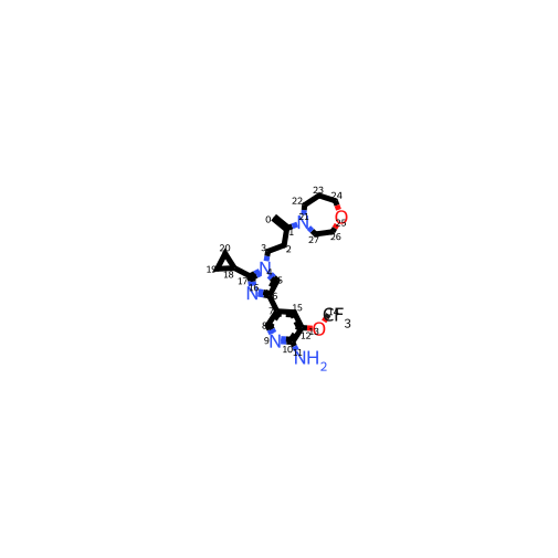 C=C(CCn1cc(-c2cnc(N)c(OC(F)(F)F)c2)nc1C1CC1)N1CCCOCC1